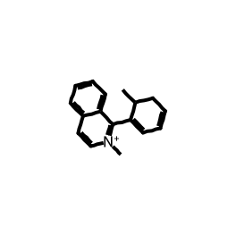 CC1CC=CC=C1c1c2ccccc2cc[n+]1C